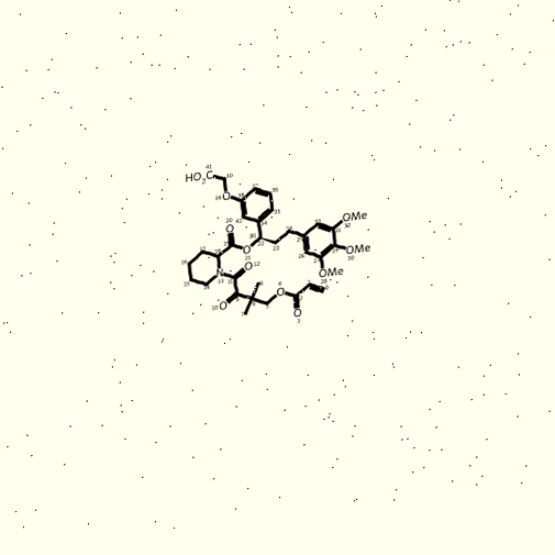 C=CC(=O)OCC(C)(C)C(=O)C(=O)N1CCCCC1C(=O)O[C@H](CCc1cc(OC)c(OC)c(OC)c1)c1cccc(OCC(=O)O)c1